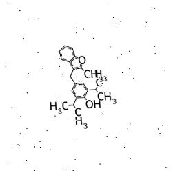 Cc1oc2ccccc2c1Cc1cc(C(C)C)c(O)c(C(C)C)c1